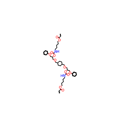 C=CC(=O)OCCCCCNC(=O)OC(COCC1CCC(COCC(COc2ccccc2)OC(=O)NCCCCCOC(=O)C=C)CC1)COc1ccccc1